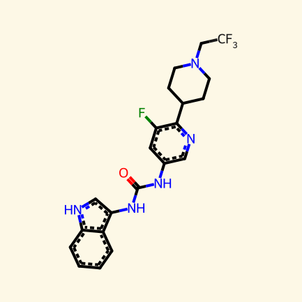 O=C(Nc1cnc(C2CCN(CC(F)(F)F)CC2)c(F)c1)Nc1c[nH]c2ccccc12